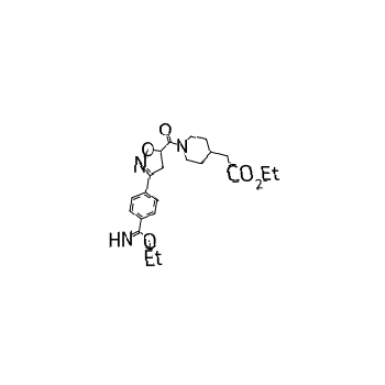 CCOC(=N)c1ccc(C2=NOC(C(=O)N3CCC(CC(=O)OCC)CC3)C2)cc1